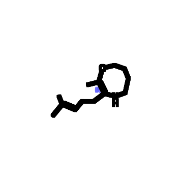 CC(C)=CCC/C1=C(\C)OCCCCN1